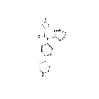 O=C(C1CNC1)N(c1ccc(C2CCNCC2)nc1)c1cccnn1